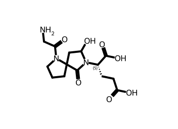 NCC(=O)N1CCCC12CC(O)N([C@@H](CCC(=O)O)C(=O)O)C2=O